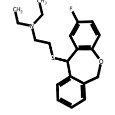 CCN(CC)CCSC1c2ccccc2COc2ccc(F)cc21